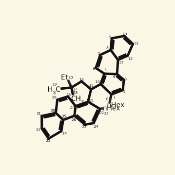 CCCCCCc1ccc2c(ccc3ccccc32)c1C(CC(C)(C)CC)c1c(CCCCCC)ccc2c1ccc1ccccc12